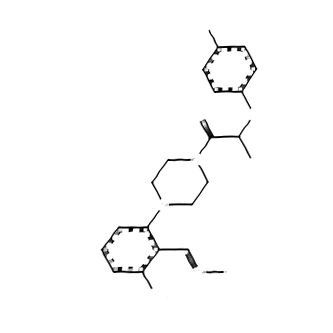 CC(Oc1ccc(F)cc1)C(=O)N1CCN(c2cccc(C(F)(F)F)c2C=NO)CC1